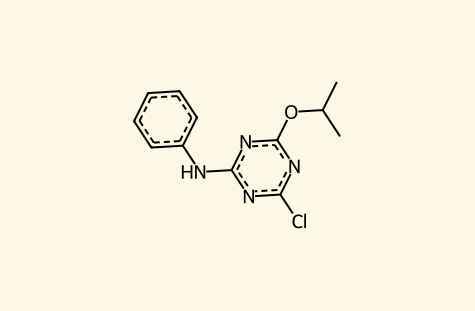 CC(C)Oc1nc(Cl)nc(Nc2ccccc2)n1